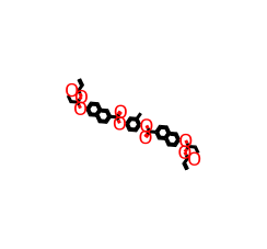 C=CC(=O)OC(CC)Oc1ccc2cc(C(=O)Oc3ccc(OC(=O)c4ccc5cc(OC(CC)OC(=O)C=C)ccc5c4)c(C)c3)ccc2c1